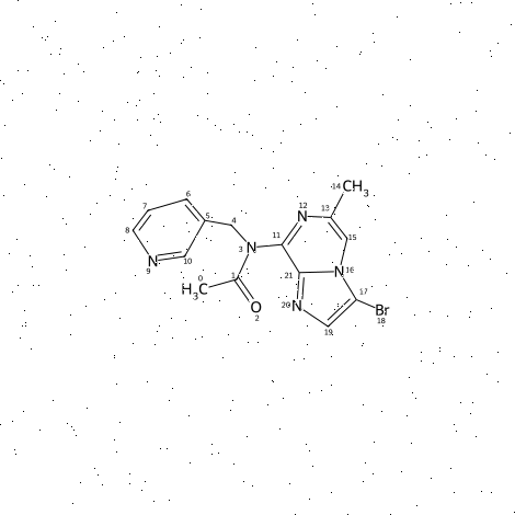 CC(=O)N(Cc1cccnc1)c1nc(C)cn2c(Br)cnc12